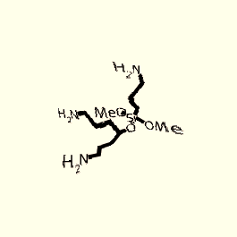 CO[Si](CCCN)(OC)OC(CCCN)CCCN